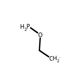 [CH2]COP